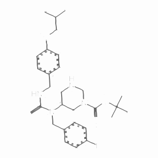 C=C(NCc1ccc(OCC(C)C)cc1)N(Cc1ccc(F)cc1)C1CNCN(C(=O)OC(C)(C)C)C1